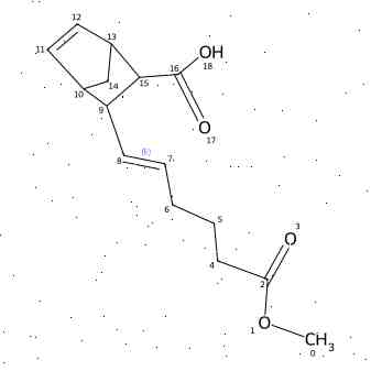 COC(=O)CCC/C=C/C1C2C=CC(C2)C1C(=O)O